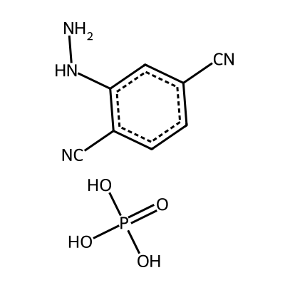 N#Cc1ccc(C#N)c(NN)c1.O=P(O)(O)O